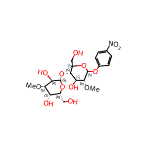 CO[C@H]1[C@@H](O)[C@@H](CO)O[C@@H](O[C@H]2[C@H](O)[C@@H](OC)[C@H](Oc3ccc([N+](=O)[O-])cc3)O[C@@H]2CO)[C@@H]1O